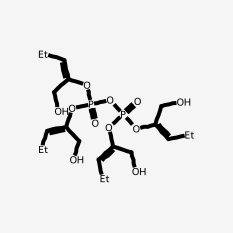 CC/C=C(\CO)OP(=O)(O/C(=C/CC)CO)OP(=O)(O/C(=C/CC)CO)O/C(=C/CC)CO